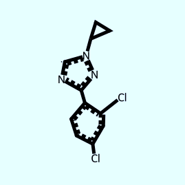 Clc1ccc(-c2n[c]n(C3CC3)n2)c(Cl)c1